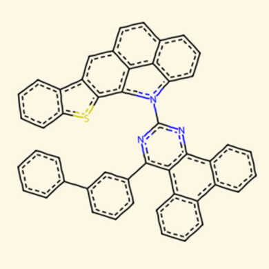 c1ccc(-c2cccc(-c3nc(-n4c5cccc6ccc7cc8c9ccccc9sc8c4c7c65)nc4c5ccccc5c5ccccc5c34)c2)cc1